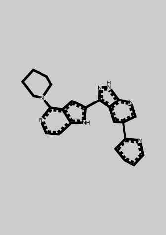 c1ccc(-c2cnc3[nH]nc(-c4cc5c(N6CCCCC6)nccc5[nH]4)c3c2)nc1